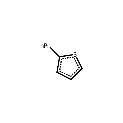 [CH]CCc1cccs1